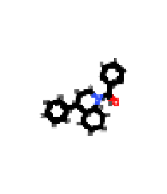 O=C(c1ccccc1)N1CCC(c2ccccc2)C2CCCCC21